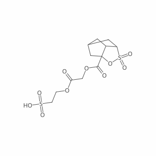 O=C(COC(=O)C12CC3CC1C(C3)S(=O)(=O)O2)OCCS(=O)(=O)O